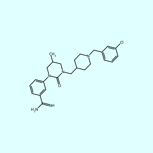 CC1CN(CC2CCN(Cc3cccc(Cl)c3)CC2)C(=O)N(c2cccc(C(=N)N)c2)C1